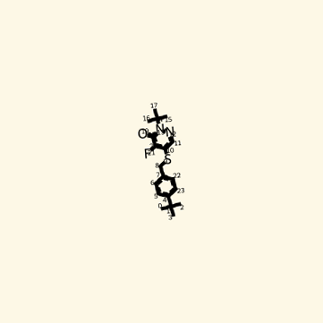 CC(C)(C)c1ccc(CSc2cnn(C(C)(C)C)c(=O)c2F)cc1